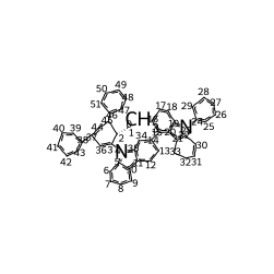 CC[C@@H]1C(n2c3ccccc3c3ccc(-c4cccc5c4c4c(n5-c5ccccc5)C=CCC4)cc32)=CC(c2ccccc2)=CC1c1ccccc1